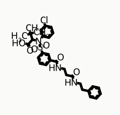 CC(C)(C)C(C(=O)O)N(c1cccc(Cl)c1)S(=O)(=O)c1cccc(C(=O)NCCC(=O)NCCc2ccccc2)c1